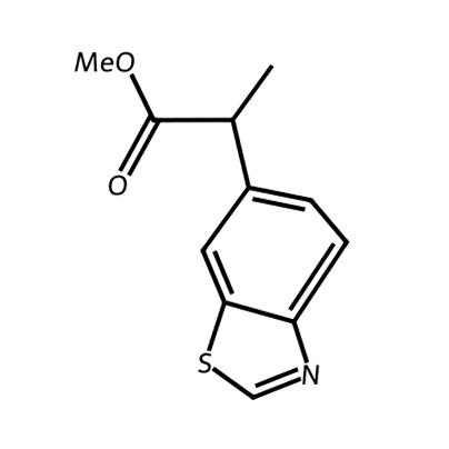 COC(=O)C(C)c1ccc2ncsc2c1